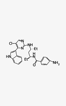 CC[C@@H](C[C@@H](CC)Nc1ncc(Cl)c(-c2c[nH]c3ccccc23)n1)NC(=O)c1ccc(N)cc1